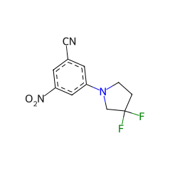 N#Cc1cc(N2CCC(F)(F)C2)cc([N+](=O)[O-])c1